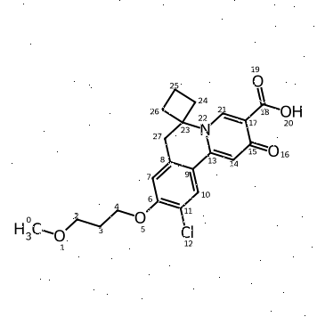 COCCCOc1cc2c(cc1Cl)-c1cc(=O)c(C(=O)O)cn1C1(CCC1)C2